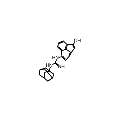 N=C(Nc1ccc2c3c(cccc13)C(O)=C2)NC12CC3CC(CC(C3)C1)C2